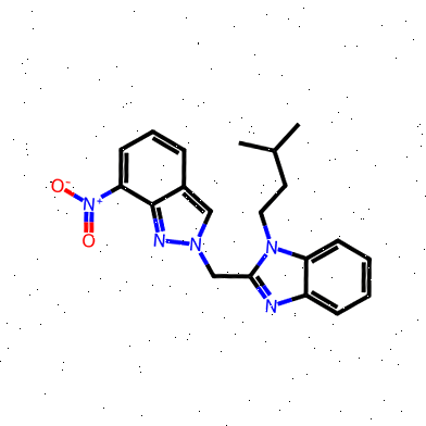 CC(C)CCn1c(Cn2cc3cccc([N+](=O)[O-])c3n2)nc2ccccc21